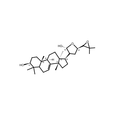 CC1(C)OC1[C@H]1CC([C@H]2CC[C@]3(C)C4=CCC5C(C)(C)[C@@H](O)CC[C@]5(C)[C@H]4CC[C@@]23C)[C@H](O)O1